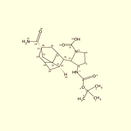 CC(C)(C)OC(=O)NC1CCN(C(=O)O)C1C1C2CC3C[C@H]1C[C@@](C(N)=O)(C3)C2